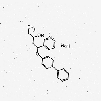 CCC(O)CC(Oc1ccc(-c2ccccc2)cc1)c1cccnc1.[NaH]